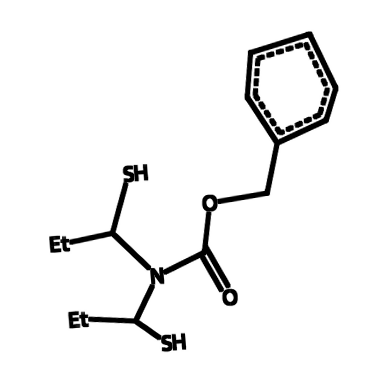 CCC(S)N(C(=O)OCc1ccccc1)C(S)CC